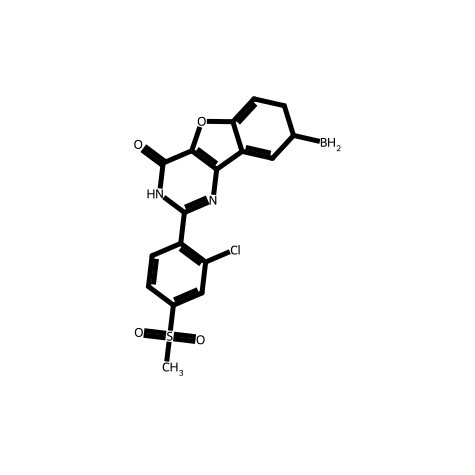 BC1C=c2c(oc3c(=O)[nH]c(-c4ccc(S(C)(=O)=O)cc4Cl)nc23)=CC1